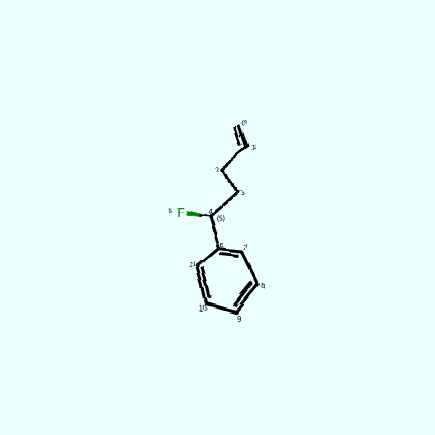 C=CCC[C@H](F)c1ccccc1